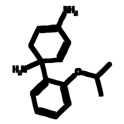 CC(C)Oc1ccccc1C1(N)C=CC(N)=CC1